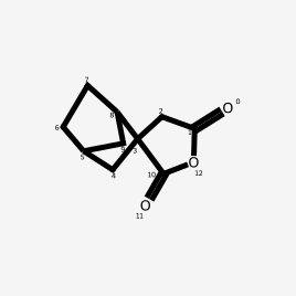 O=C1CC2(CC3CCC2C3)C(=O)O1